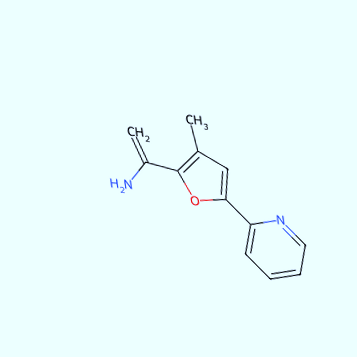 C=C(N)c1oc(-c2ccccn2)cc1C